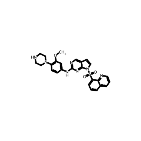 COc1cc(Nc2ncc3ccn(S(=O)(=O)c4cccc5cccnc45)c3n2)ccc1N1CCNCC1